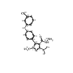 Cn1nc(C(F)F)c(C(=O)NN)c1-c1ccc(Oc2cccc(Cl)c2)cc1